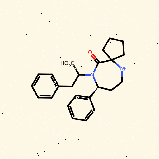 O=C(O)C(Cc1ccccc1)N1C(=O)C2(CCCC2)NCC[C@H]1c1ccccc1